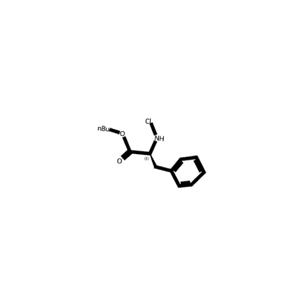 CCCCOC(=O)[C@H](Cc1ccccc1)NCl